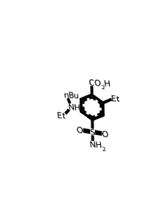 CCCCNCC.CCc1cc(S(N)(=O)=O)ccc1C(=O)O